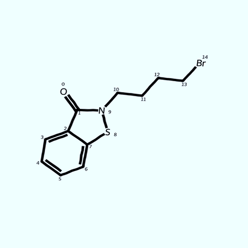 O=c1c2ccccc2sn1CCCCBr